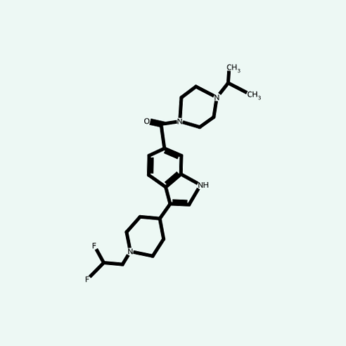 CC(C)N1CCN(C(=O)c2ccc3c(C4CCN(CC(F)F)CC4)c[nH]c3c2)CC1